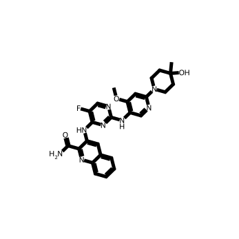 COc1cc(N2CCC(C)(O)CC2)ncc1Nc1ncc(F)c(Nc2cc3ccccc3nc2C(N)=O)n1